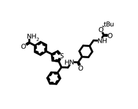 CC(C)(C)OC(=O)NCC1CCC(C(=O)NCC(c2ccccc2)c2cc(-c3ccc(C(N)=O)cc3)cs2)CC1